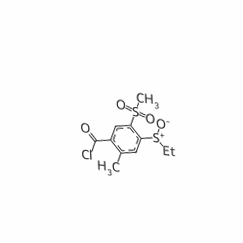 CC[S+]([O-])c1cc(C)c(C(=O)Cl)cc1S(C)(=O)=O